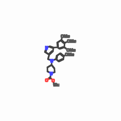 COc1ccc(N(Cc2cncc(-c3cc(OC)c(OC)c(OC)c3)c2)C2CCN(C(=O)OC(C)(C)C)CC2)cc1